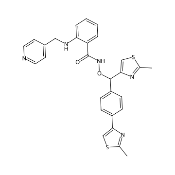 Cc1nc(-c2ccc(C(ONC(=O)c3ccccc3NCc3ccncc3)c3csc(C)n3)cc2)cs1